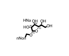 CCCCCCCCCCO[C@H]1O[C@@H]([C@@H](O)CO)[C@H](O)[C@H]1O.[NaH]